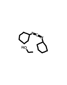 C(=NC1CCCCC1)=NC1CCCCC1.CCO